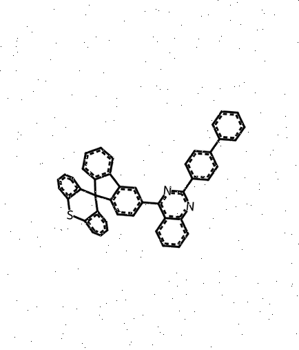 c1ccc(-c2ccc(-c3nc(-c4ccc5c(c4)-c4ccccc4C54c5ccccc5Sc5ccccc54)c4ccccc4n3)cc2)cc1